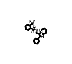 O=S(=O)(NCc1c(-c2ccccc2)nc2ccccn12)c1ccccc1C(F)(F)F